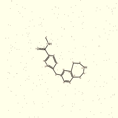 CNC(=O)c1ccc(Cc2ccc3c(c2)CCNCC3)nc1